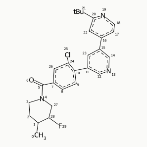 CC1CCN(C(=O)c2ccc(-c3cncc(-c4ccnc(C(C)(C)C)c4)c3)c(Cl)c2)CC1F